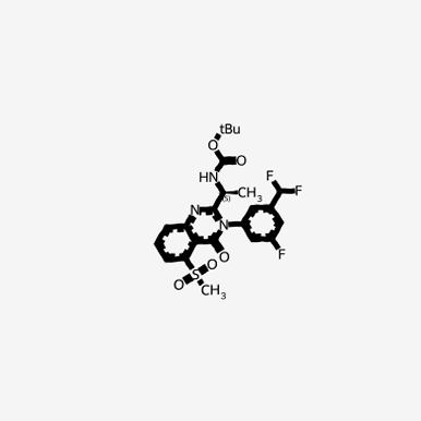 C[C@H](NC(=O)OC(C)(C)C)c1nc2cccc(S(C)(=O)=O)c2c(=O)n1-c1cc(F)cc(C(F)F)c1